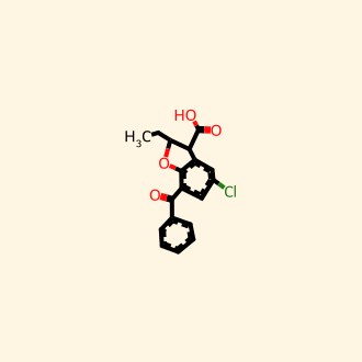 CCC1Oc2c(C(=O)c3ccccc3)cc(Cl)cc2C1C(=O)O